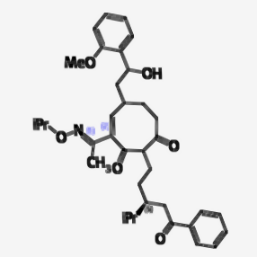 COc1ccccc1C(O)CC1/C=C(/C(C)=N/OC(C)C)C(=O)C(CC[C@@H](CC(=O)c2ccccc2)C(C)C)C(=O)CC1